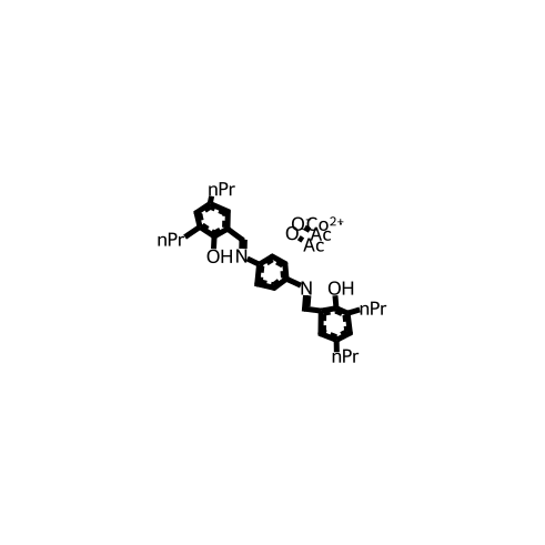 CC(=O)[O-].CC(=O)[O-].CCCc1cc(C=Nc2ccc(N=Cc3cc(CCC)cc(CCC)c3O)cc2)c(O)c(CCC)c1.[Co+2]